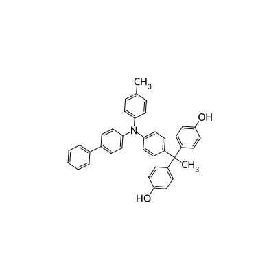 Cc1ccc(N(c2ccc(-c3ccccc3)cc2)c2ccc(C(C)(c3ccc(O)cc3)c3ccc(O)cc3)cc2)cc1